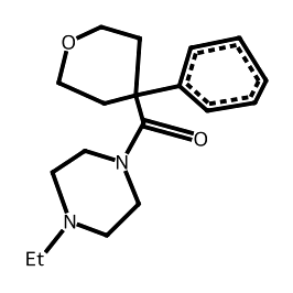 CCN1CCN(C(=O)C2(c3ccccc3)CCOCC2)CC1